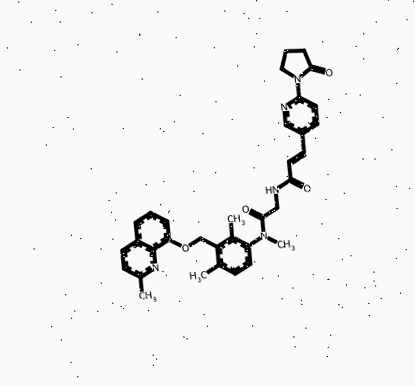 Cc1ccc2cccc(OCc3c(C)ccc(N(C)C(=O)CNC(=O)C=Cc4ccc(N5CCCC5=O)nc4)c3C)c2n1